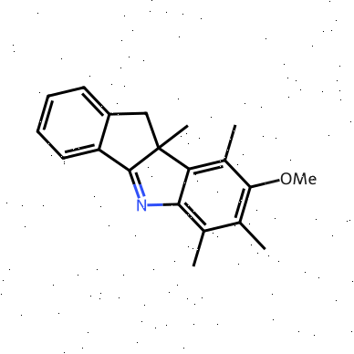 COc1c(C)c(C)c2c(c1C)C1(C)Cc3ccccc3C1=N2